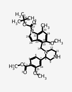 COC(=O)c1ccc(C2CNCCN2Cc2c(OC)cc(C)c3c2ccn3C(=O)OC(C)(C)C)cc1OC